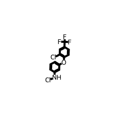 FC(F)(F)c1ccc(Oc2cccc(NCl)c2)c(Cl)c1